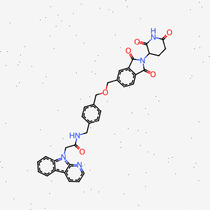 O=C(Cn1c2ccccc2c2cccnc21)NCc1ccc(COCc2ccc3c(c2)C(=O)N(C2CCC(=O)NC2=O)C3=O)cc1